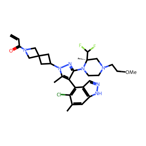 C=CC(=O)N1CC2(CC(n3nc(N4CCN(CCOC)C[C@]4(C)C(F)F)c(-c4c(Cl)c(C)cc5[nH]ncc45)c3C)C2)C1